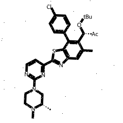 CC(=O)[C@@H](OC(C)(C)C)c1c(C)cc2nc(-c3ccnc(N4CCN(C)[C@@H](C)C4)n3)sc2c1-c1ccc(Cl)cc1